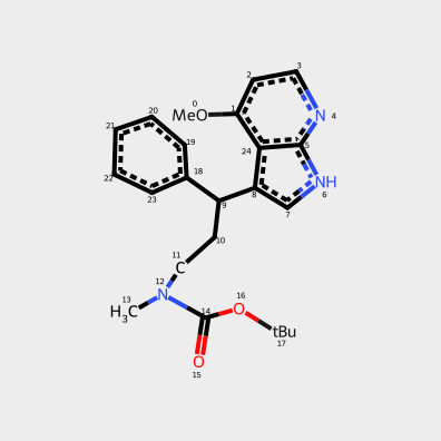 COc1ccnc2[nH]cc(C(CCN(C)C(=O)OC(C)(C)C)c3ccccc3)c12